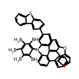 Bc1c(B)c(B)c(N(c2cccc(-c3ccc4sc5ccccc5c4c3)c2)c2cccc(-c3ccccc3)c2-c2cccc3oc4ccccc4c23)c(B)c1B